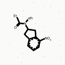 CCCN(C(=O)CC)C1Cc2cccc([N+](=O)[O-])c2C1